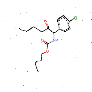 CCCCOC(=O)NC(C(=O)CCCC)c1ccc(Cl)cc1